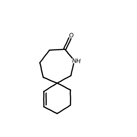 O=C1CCCC2(C=CCCC2)CN1